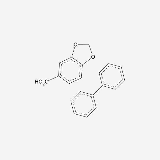 O=C(O)c1ccc2c(c1)OCO2.c1ccc(-c2ccccc2)cc1